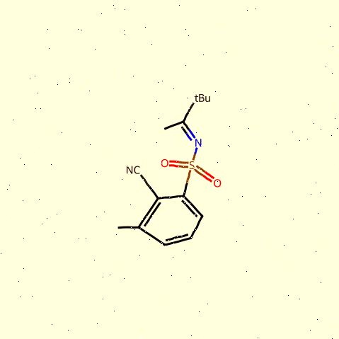 C/C(=N\S(=O)(=O)c1cccc(C)c1C#N)C(C)(C)C